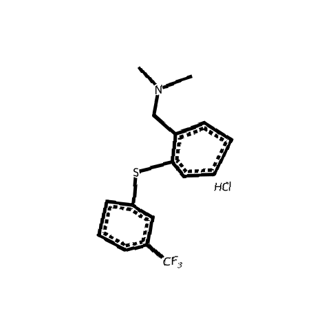 CN(C)Cc1ccccc1Sc1cccc(C(F)(F)F)c1.Cl